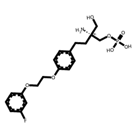 N[C@@](CO)(CCc1ccc(OCCOc2cccc(F)c2)cc1)COP(=O)(O)O